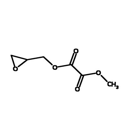 COC(=O)C(=O)OCC1CO1